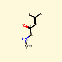 CC(C)=CC(=O)CNC=O